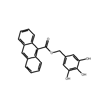 O=C(OCc1cc(O)c(O)c(O)c1)c1c2ccccc2cc2ccccc12